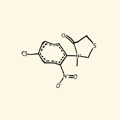 C[N+]1(c2ccc(Cl)cc2[N+](=O)[O-])CSCC1=O